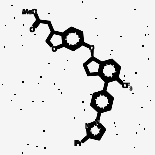 COC(=O)CC1COc2cc(O[C@@H]3CCc4c3ccc(C(F)(F)F)c4-c3ccc(-n4ccc(C(C)C)n4)cc3)ccc21